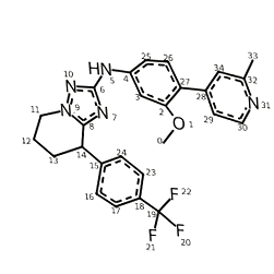 COc1cc(Nc2nc3n(n2)CCCC3c2ccc(C(F)(F)F)cc2)ccc1-c1ccnc(C)c1